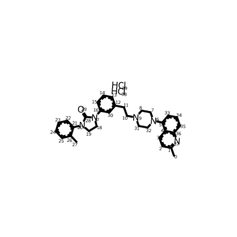 Cc1ccc2c(N3CCN(CCc4cccc(N5CCN(c6ccccc6C)C5=O)c4)CC3)cccc2n1.Cl.Cl